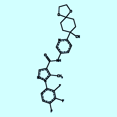 Cc1c(C(=O)Nc2ccc(C3(C#N)CCC4(CC3)OCCO4)nc2)cnn1-c1ccc(F)c(F)c1F